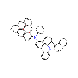 c1cc(-c2cccc3ccccc23)cc(N(c2ccc(-c3ccccc3-n3c4ccccc4c4c5ccccc5ccc43)cc2)c2ccccc2-c2cc3ccccc3c3ccccc23)c1